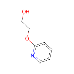 OCCOc1ccc[c]n1